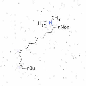 CCCC/C=C\C/C=C\CCCCCCCC(CCCCCCCCC)N(C)C